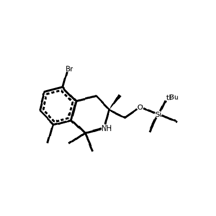 Cc1ccc(Br)c2c1C(C)(C)N[C@@](C)(CO[Si](C)(C)C(C)(C)C)C2